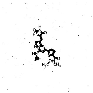 CON(C)C(=O)c1ccc(-c2cc(NC3CC3)n3ncc(/C=C4\NC(=O)NC4=O)c3n2)s1